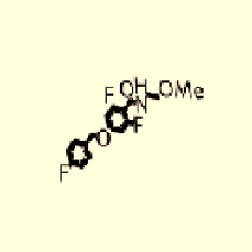 COCCNC(=O)c1c(F)cc(OCc2ccc(F)cc2)cc1F